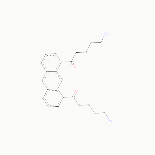 NCCCCC(=O)c1cccc2cc3cccc(C(=O)CCCCN)c3cc12